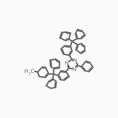 CC1C=CC(C(C2=CCCC=C2)(c2ccccc2)c2cccc(-c3nc(-c4ccccc4)nc(-c4cccc(C(c5ccccc5)(c5ccccc5)c5ccccc5)c4)n3)c2)=CC1